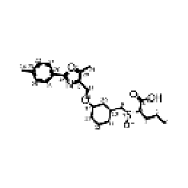 CCCC(C(=O)O)[S+]([O-])CC1CCCC(OCc2nc(-c3ccc(C)cc3)oc2C)C1